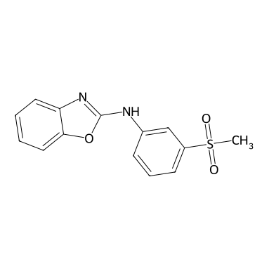 CS(=O)(=O)c1cccc(Nc2nc3ccccc3o2)c1